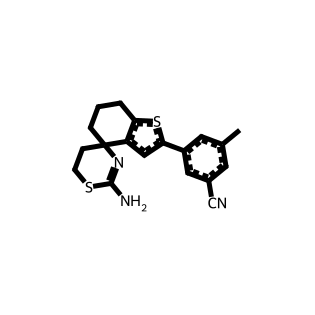 Cc1cc(C#N)cc(-c2cc3c(s2)CCCC32CCSC(N)=N2)c1